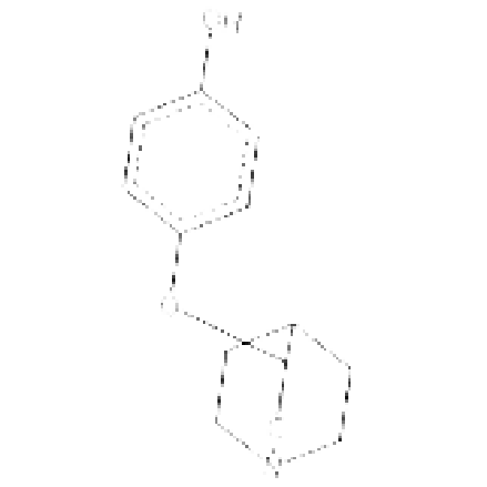 Oc1ccc(OC2CN3CCC2CC3)cc1